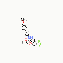 COCc1ccc(-c2ccc(NC(=O)C(C)(C)Oc3ccc(C(F)(F)F)cc3)cc2)cc1